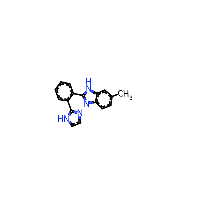 Cc1ccc2nc(-c3ccccc3-c3ncc[nH]3)[nH]c2c1